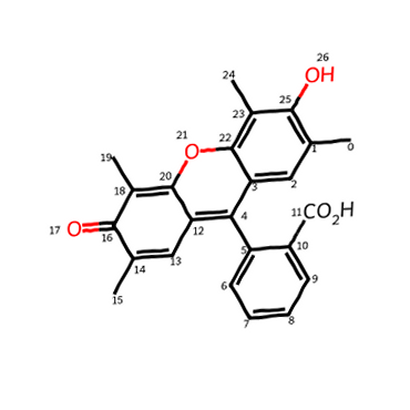 Cc1cc2c(-c3ccccc3C(=O)O)c3cc(C)c(=O)c(C)c-3oc2c(C)c1O